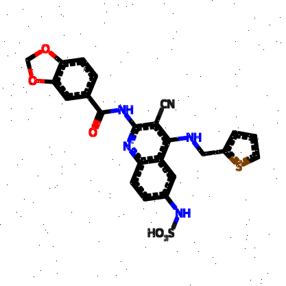 N#Cc1c(NC(=O)c2ccc3c(c2)OCO3)nc2ccc(NS(=O)(=O)O)cc2c1NCc1cccs1